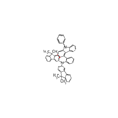 CC1(C)c2ccccc2-c2cc(N(c3ccc4c(c3)-c3ccccc3C4(C)C)c3ccccc3-c3cccc4c3c3ccccc3n4-c3ccccc3)ccc21